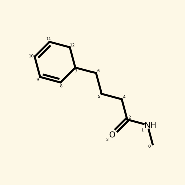 CNC(=O)CCCC1C=CC=CC1